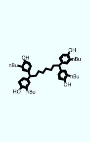 CCCCc1cc(C(CCCCCCC(c2ccc(O)c(CCCC)c2)c2ccc(O)c(CCCC)c2)c2ccc(O)c(CCCC)c2)ccc1O